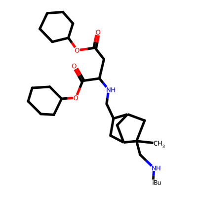 CCC(C)NCC1(C)CC2CC1CC2CNC(CC(=O)OC1CCCCC1)C(=O)OC1CCCCC1